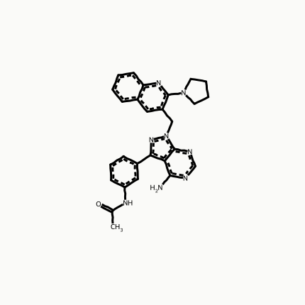 CC(=O)Nc1cccc(-c2nn(Cc3cc4ccccc4nc3N3CCCC3)c3ncnc(N)c23)c1